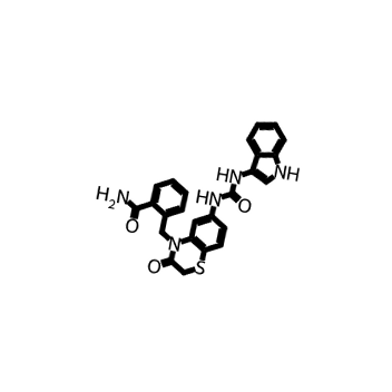 NC(=O)c1ccccc1CN1C(=O)CSc2ccc(NC(=O)Nc3c[nH]c4ccccc34)cc21